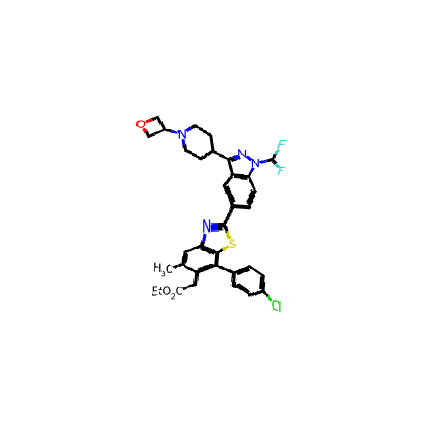 CCOC(=O)Cc1c(C)cc2nc(-c3ccc4c(c3)c(C3CCN(C5COC5)CC3)nn4C(F)F)sc2c1-c1ccc(Cl)cc1